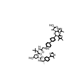 Cc1ncsc1-c1ccc([C@H](C)NC(=O)[C@@H]2C[C@@H](O)CN2C(=O)[C@@H](NC(=O)CNc2ccc(-c3ccc(C4=N[C@@H](C(C)C(=O)O)c5nnc(C)n5-c5sc(C)c(C)c54)cc3)cc2)C(C)(C)C)cc1